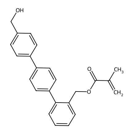 C=C(C)C(=O)OCc1ccccc1-c1ccc(-c2ccc(CO)cc2)cc1